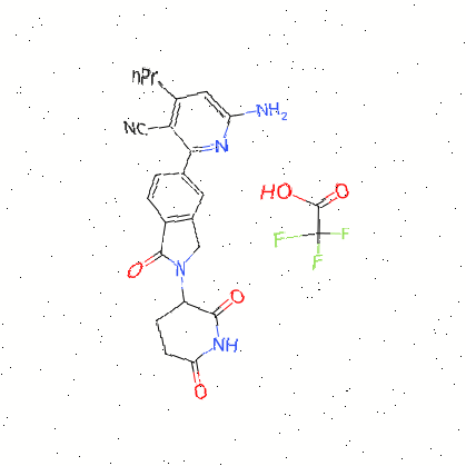 CCCc1cc(N)nc(-c2ccc3c(c2)CN(C2CCC(=O)NC2=O)C3=O)c1C#N.O=C(O)C(F)(F)F